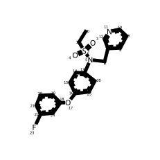 CCS(=O)(=O)N(Cc1cccnc1)c1ccc(Oc2cccc(F)c2)cc1